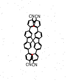 N#Cc1ccc(-c2ccc3c(c2)C2(c4cc(-c5ccc(C#N)cc5)ccc4-3)c3cc(-c4ccc(C#N)cc4)ccc3-c3ccc(-c4ccc(C#N)cc4)cc32)cc1